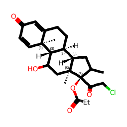 CCC(=O)O[C@]1(C(=O)CCl)C(C)C[C@H]2[C@@H]3CCC4=CC(=O)C=C[C@]4(C)[C@H]3C(O)C[C@@]21C